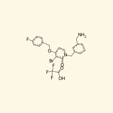 NCc1cccc(Cn2ccc(OCc3ccc(F)cc3)c(Br)c2=O)c1.O=C(O)C(F)(F)F